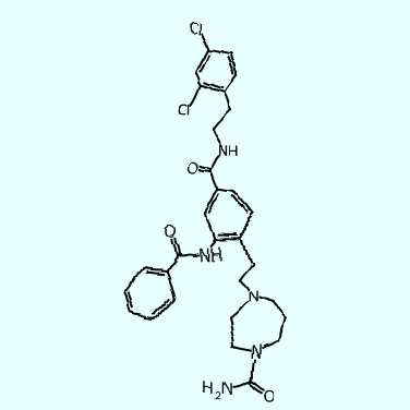 NC(=O)N1CCCN(CCc2ccc(C(=O)NCCc3ccc(Cl)cc3Cl)cc2NC(=O)c2ccccc2)CC1